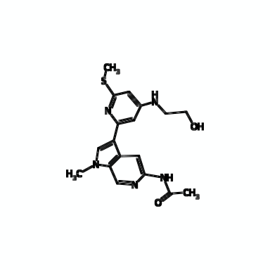 CSc1cc(NCCO)cc(-c2cn(C)c3cnc(NC(C)=O)cc23)n1